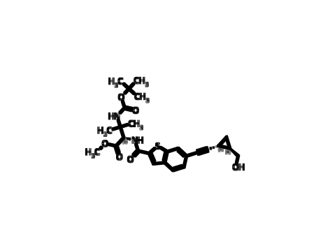 COC(=O)[C@@H](NC(=O)c1cc2ccc(C#C[C@@H]3C[C@H]3CO)cc2s1)C(C)(C)NC(=O)OC(C)(C)C